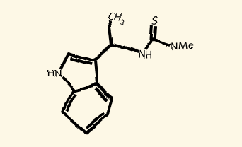 CNC(=S)NC(C)c1c[nH]c2ccccc12